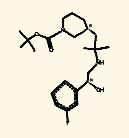 CC(C)(C[C@H]1CCCN(C(=O)OC(C)(C)C)C1)NC[C@H](O)c1cccc(F)c1